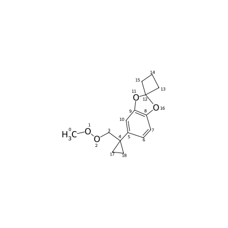 COOCC1(c2ccc3c(c2)OC2(CCC2)O3)CC1